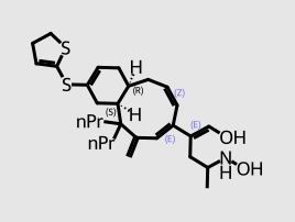 C=C1/C=C(/C(=C/O)CC(C)NO)\C=C/C[C@@H]2CC=C(SC3=CCCS3)C[C@@H]2C1(CCC)CCC